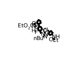 CCCCc1nn(-c2cc(NC(=O)CC)ccc2Cl)c(=O)n1Cc1ccc(-c2ccccc2S(=O)(=O)NC(=O)OCC)cc1F